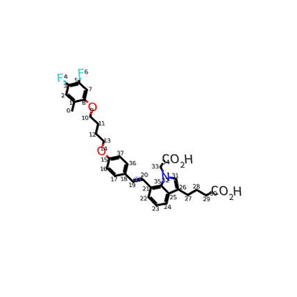 Cc1cc(F)c(F)cc1OCCCCOc1ccc(/C=C/c2cccc3c(CCCC(=O)O)cn(CC(=O)O)c23)cc1